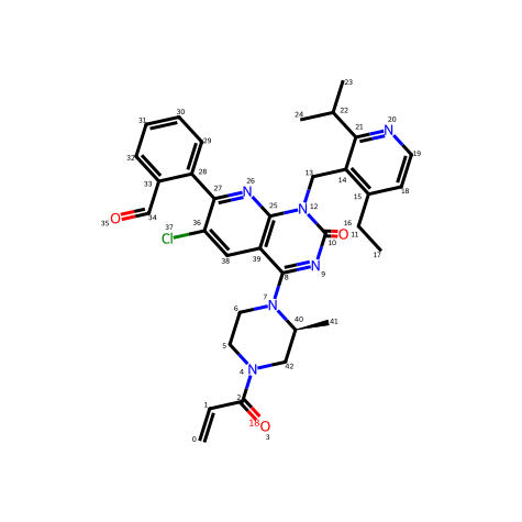 C=CC(=[18O])N1CCN(c2nc(=O)n(Cc3c(CC)ccnc3C(C)C)c3nc(-c4ccccc4C=O)c(Cl)cc23)[C@@H](C)C1